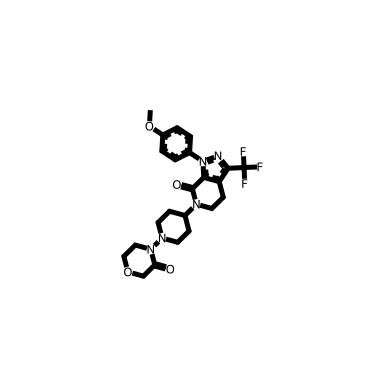 COc1ccc(-n2nc(C(F)(F)F)c3c2C(=O)N(C2CCN(N4CCOCC4=O)CC2)CC3)cc1